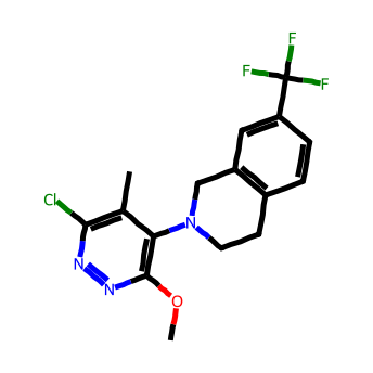 COc1nnc(Cl)c(C)c1N1CCc2ccc(C(F)(F)F)cc2C1